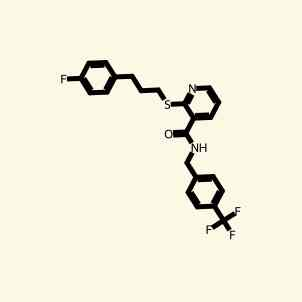 O=C(NCc1ccc(C(F)(F)F)cc1)c1cccnc1SCCCc1ccc(F)cc1